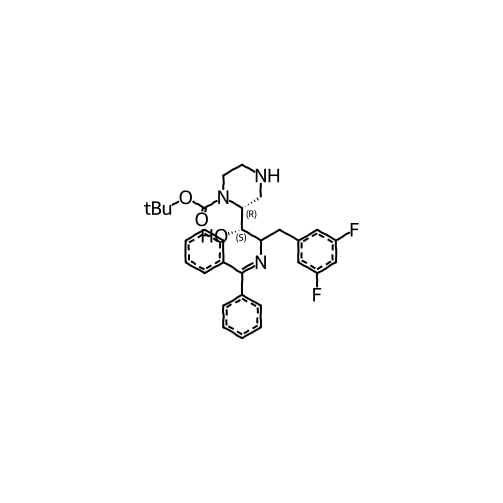 CC(C)(C)OC(=O)N1CCNC[C@@H]1[C@@H](O)C(Cc1cc(F)cc(F)c1)N=C(c1ccccc1)c1ccccc1